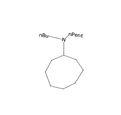 CCCCCN(CCCC)C1CCCCCCC1